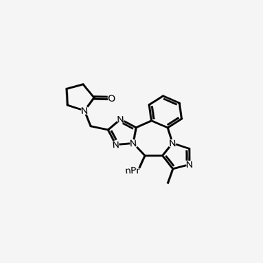 CCCC1c2c(C)ncn2-c2ccccc2-c2nc(CN3CCCC3=O)nn21